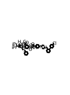 CC(C)N(C(=O)C[C@H](CSc1ccccc1)Nc1ccc(S(=O)(=O)NC(=O)c2ccc(N3CCN(Cc4ccccc4-c4ccc(Cl)cc4)CC3)cc2)cc1S(C)(=O)=O)C(C)C